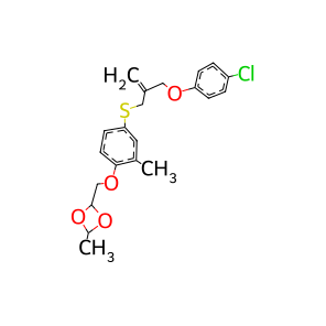 C=C(COc1ccc(Cl)cc1)CSc1ccc(OCC2OC(C)O2)c(C)c1